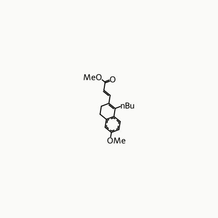 CCCCC1=C(C=CC(=O)OC)CCc2cc(OC)ccc21